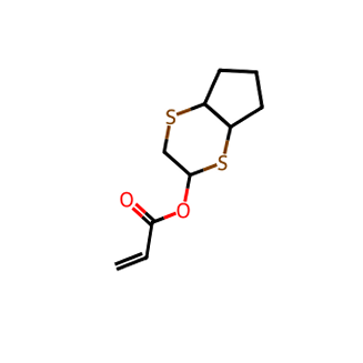 C=CC(=O)OC1CSC2CCCC2S1